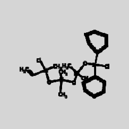 C=C[Si](C)(Cl)O[Si](C)(C)O[Si](C)(C)O[Si](Cl)(c1ccccc1)c1ccccc1